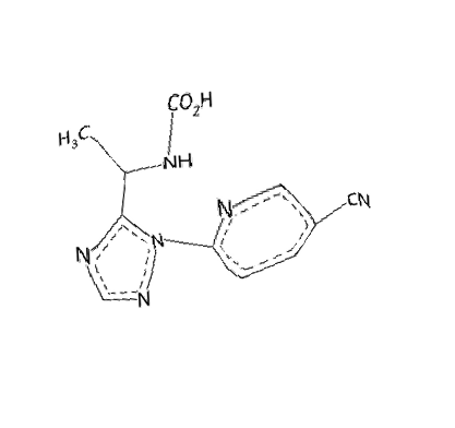 CC(NC(=O)O)c1ncnn1-c1ccc(C#N)cn1